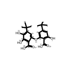 CC(C)(C)c1cc(O)c(C(=O)O)c(Oc2cc(C(C)(C)C)c(O)c(O)c2C(=O)O)c1